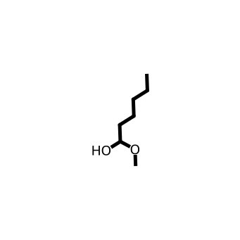 CCCCCC(O)OC